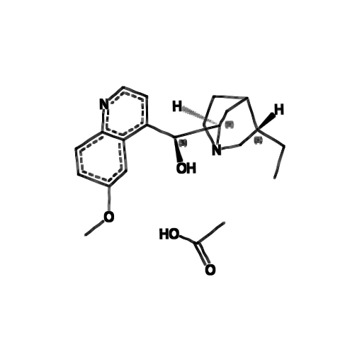 CC(=O)O.CC[C@@H]1CN2CCC1C[C@@H]2[C@@H](O)c1ccnc2ccc(OC)cc12